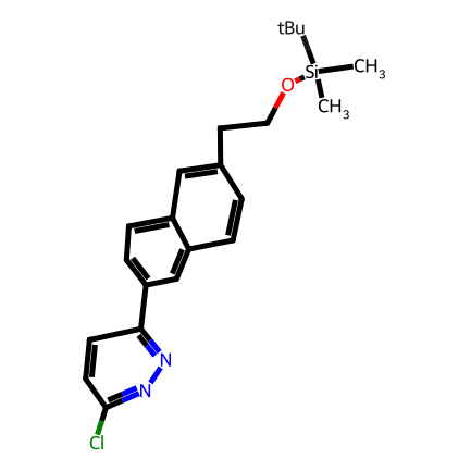 CC(C)(C)[Si](C)(C)OCCc1ccc2cc(-c3ccc(Cl)nn3)ccc2c1